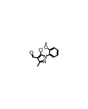 COc1ccccc1-n1nc(C)c(C=O)c1Cl